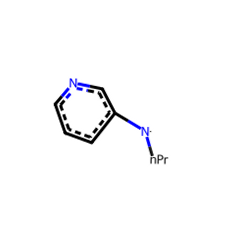 CCC[N]c1cccnc1